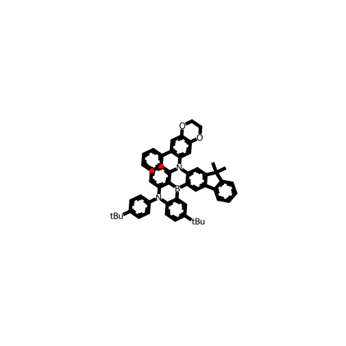 Cc1cc2c3c(c1)N(c1cc4c(cc1-c1ccccc1)OCCO4)c1cc4c(cc1B3c1cc(C(C)(C)C)ccc1N2c1ccc(C(C)(C)C)cc1)-c1ccccc1C4(C)C